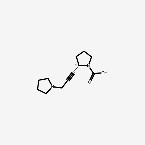 O=C(O)N1CCC[C@H]1C#CCN1CCCC1